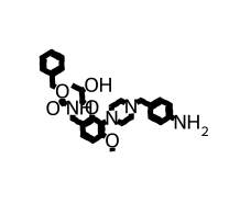 COc1ccc(CNC(=O)OCc2ccccc2)c(OCC(C)O)c1N1CCN(Cc2ccc(N)cc2)CC1